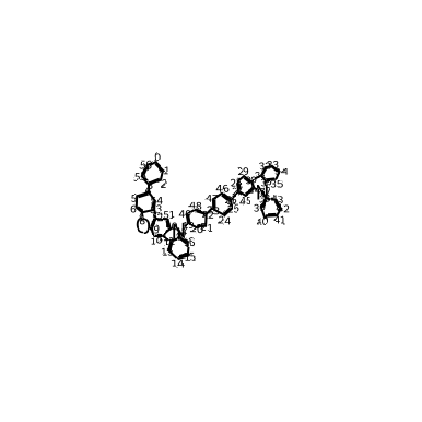 c1ccc(-c2ccc3oc4cc5c6ccccc6n(-c6ccc(-c7ccc(-c8ccc9c%10ccccc%10n(-c%10ccccc%10)c9c8)cc7)cc6)c5cc4c3c2)cc1